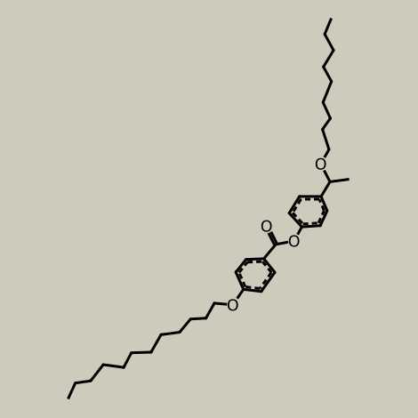 CCCCCCCCCCCCOc1ccc(C(=O)Oc2ccc(C(C)OCCCCCCCCC)cc2)cc1